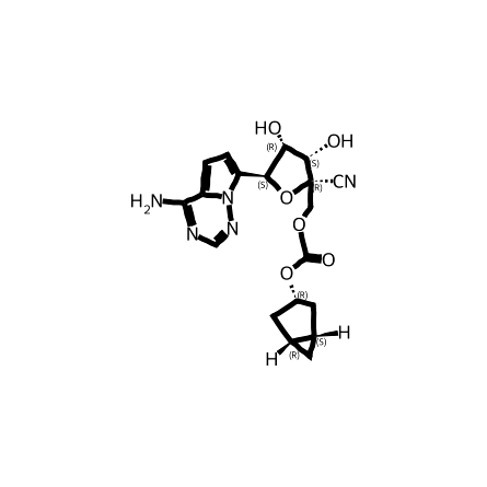 N#C[C@]1(COC(=O)O[C@@H]2C[C@@H]3C[C@@H]3C2)O[C@@H](c2ccc3c(N)ncnn23)[C@H](O)[C@@H]1O